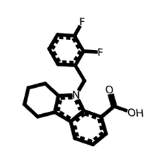 O=C(O)c1cccc2c3c(n(Cc4cccc(F)c4F)c12)CCCC3